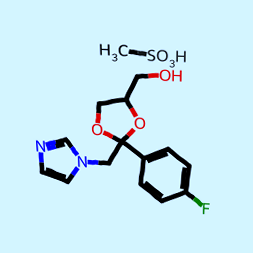 CS(=O)(=O)O.OCC1COC(Cn2ccnc2)(c2ccc(F)cc2)O1